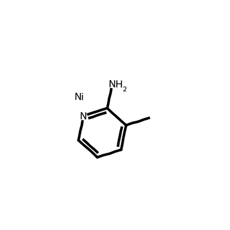 Cc1cccnc1N.[Ni]